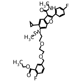 CCOC(=O)c1cc(COCCOCCN(SC)c2cc3oc(-c4ccc(F)cc4)c(C(=O)NC)c3cc2C2CC2)ccc1F